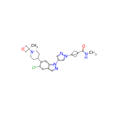 CNC(=O)C12CC(n3cc(-n4ncc5cc(Cl)c(C6CCN(C7(C)COC7)CC6)cc54)cn3)(C1)C2